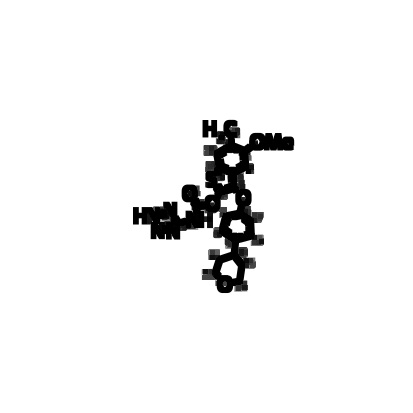 COc1cc2c(Oc3ccc(C4CCOCC4)cc3)c(OC(=O)Nc3nn[nH]n3)sc2cc1C